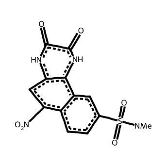 CNS(=O)(=O)c1ccc2c([N+](=O)[O-])cc3[nH]c(=O)c(=O)[nH]c3c2c1